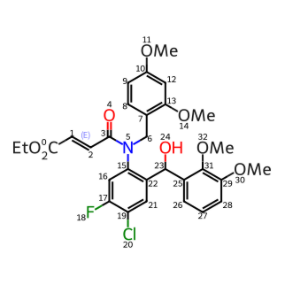 CCOC(=O)/C=C/C(=O)N(Cc1ccc(OC)cc1OC)c1cc(F)c(Cl)cc1C(O)c1cccc(OC)c1OC